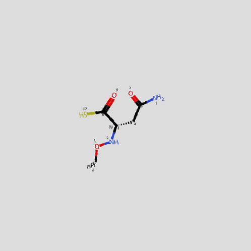 CCCON[C@@H](CC(N)=O)C(=O)S